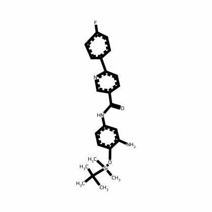 CC(C)(C)[Si](C)(C)Oc1ccc(NC(=O)c2ccc(-c3ccc(F)cc3)nc2)cc1N